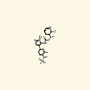 CCn1nnc(-c2ccc(NS(C)(=O)=O)c(C)n2)c1NC(=O)O[C@H](C)c1cccnc1Cl